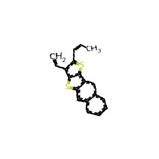 C=Cc1c(/C=C\C)sc2c1sc1cc3ccccc3cc12